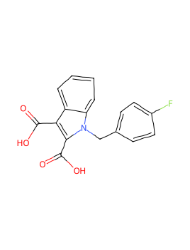 O=C(O)c1c(C(=O)O)n(Cc2ccc(F)cc2)c2ccccc12